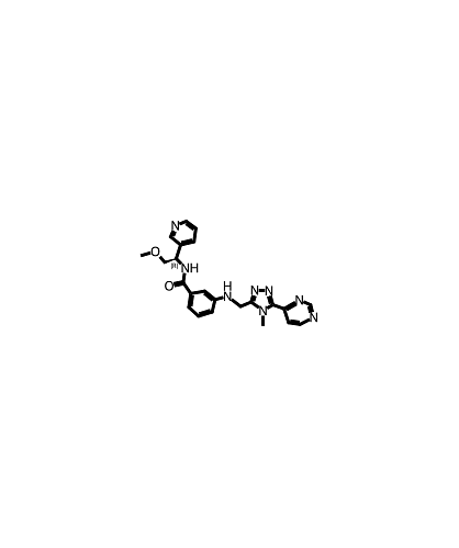 COC[C@H](NC(=O)c1cccc(NCc2nnc(-c3ccncn3)n2C)c1)c1cccnc1